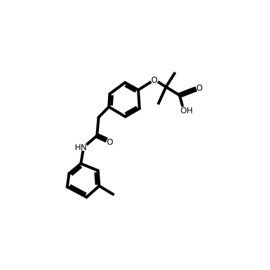 Cc1cccc(NC(=O)Cc2ccc(OC(C)(C)C(=O)O)cc2)c1